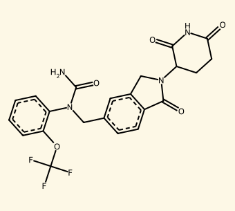 NC(=O)N(Cc1ccc2c(c1)CN(C1CCC(=O)NC1=O)C2=O)c1ccccc1OC(F)(F)F